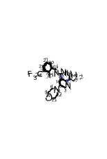 C/C(N)=c1\ncc(N2CCOCC2)c\c1=C(\N)NCc1cccc(C(F)(F)F)c1C